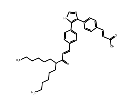 CCCCCCN(CCCCCC)C(=O)C=Cc1ccc(-c2[nH]cnc2-c2ccc(C=CC(=O)O)cc2)cc1